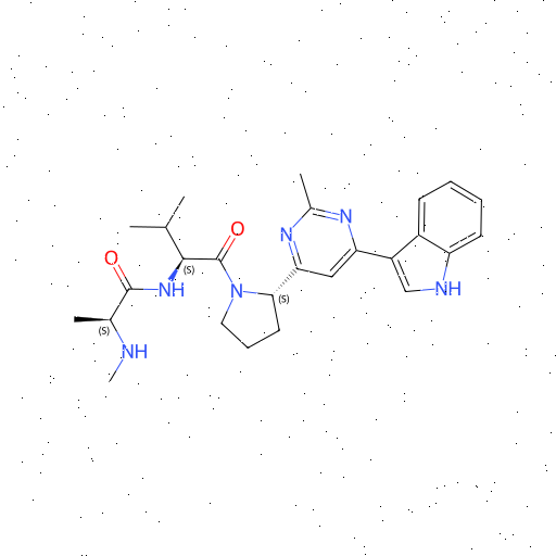 CN[C@@H](C)C(=O)N[C@H](C(=O)N1CCC[C@H]1c1cc(-c2c[nH]c3ccccc23)nc(C)n1)C(C)C